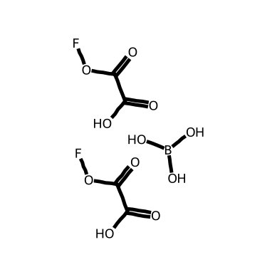 O=C(O)C(=O)OF.O=C(O)C(=O)OF.OB(O)O